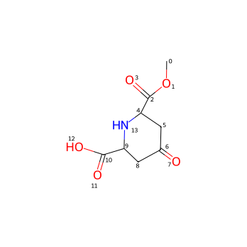 COC(=O)C1CC(=O)CC(C(=O)O)N1